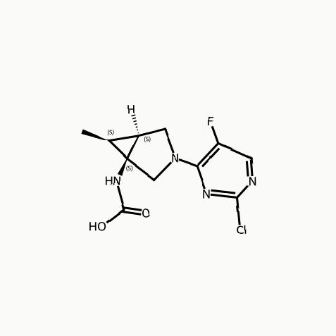 C[C@H]1[C@H]2CN(c3nc(Cl)ncc3F)C[C@@]21NC(=O)O